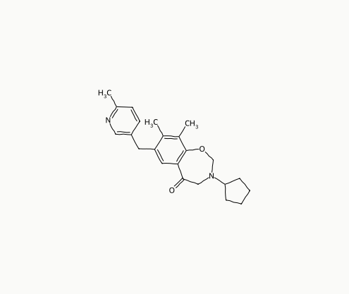 Cc1ccc(Cc2cc3c(c(C)c2C)OCN(C2CCCC2)CC3=O)cn1